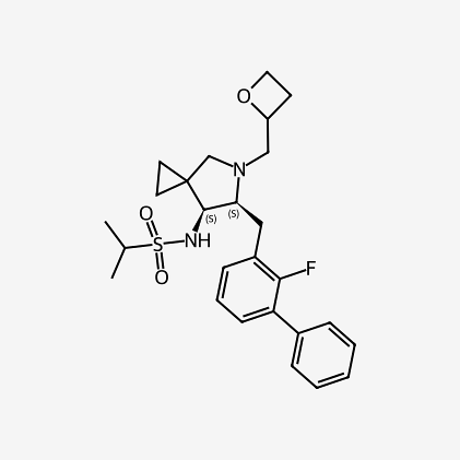 CC(C)S(=O)(=O)N[C@@H]1[C@H](Cc2cccc(-c3ccccc3)c2F)N(CC2CCO2)CC12CC2